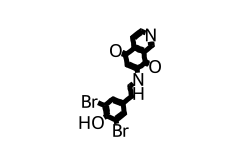 O=C1C=C(NCCc2cc(Br)c(O)c(Br)c2)C(=O)c2cnccc21